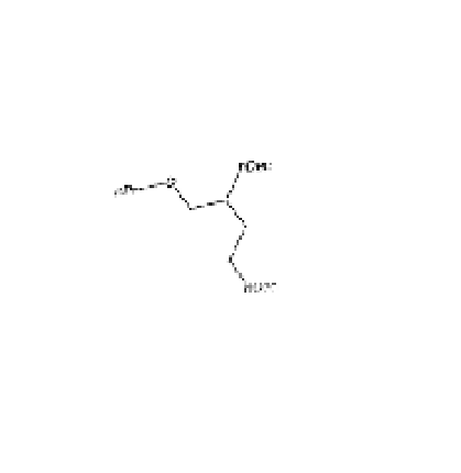 CCCCCCCCCCCCC(CCCCCCCCCC)COCCC